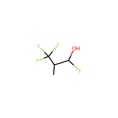 C[C](C(O)F)C(F)(F)F